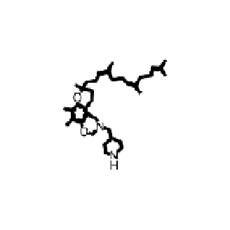 CC(C)=CCCC(C)=CCCC(C)=CCCC1(C)CCc2c3c(c(C)c(C)c2O1)OCN(CC1CCNCC1)C3